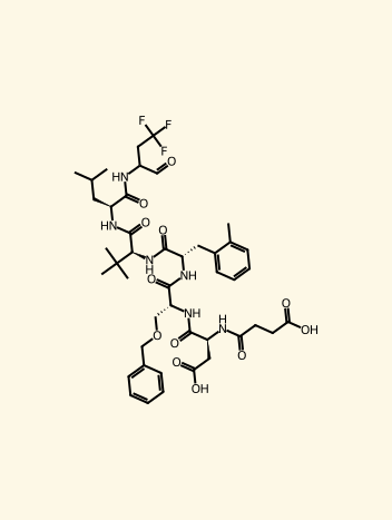 Cc1ccccc1C[C@H](NC(=O)[C@@H](COCc1ccccc1)NC(=O)[C@H](CC(=O)O)NC(=O)CCC(=O)O)C(=O)N[C@H](C(=O)N[C@@H](CC(C)C)C(=O)NC(C=O)CC(F)(F)F)C(C)(C)C